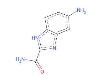 NC(=O)c1nc2cc(N)ccc2[nH]1